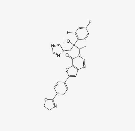 CC(n1cnc2cc(-c3ccc(C4=NCCO4)cc3)sc2c1=O)C(O)(Cn1cncn1)c1ccc(F)cc1F